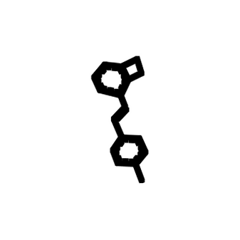 Cc1ccc(C=Cc2cccc3c2CC3)cc1